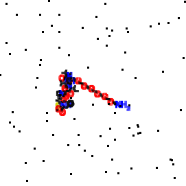 CCC(C)C(C(CC(=O)N1CCC[C@H]1C(OC)C(C)C(=S)NC(Cc1ccccc1)C(=O)OC)OC)N(C)C(=O)C(NC(=O)C(C(C)C)N(C)C(=O)CCOCCOCCOCCOCCOCCOCCN)C(C)C